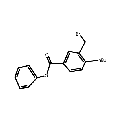 CCCCc1ccc(C(=O)Oc2ccccc2)cc1CBr